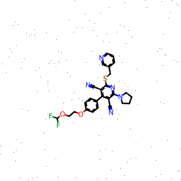 N#Cc1c(SCc2cccnc2)nc(N2CCCC2)c(C#N)c1-c1ccc(OCCOC(F)F)cc1